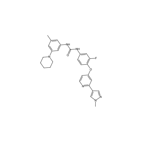 Cc1cc(NC(=O)Nc2ccc(Oc3ccnc(-c4cnn(C)c4)c3)c(F)c2)cc(N2CCCCC2)c1